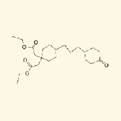 CCOC(=O)CC1(CC(=O)OCC)CCC(CCCC2CCC(=O)CC2)CC1